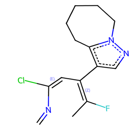 C=N/C(Cl)=C\C(=C(/C)F)c1cnn2c1CCCCC2